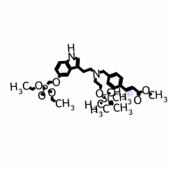 CCOP(=O)(COc1ccc2[nH]cc(CCN(CCO[Si](C)(C)C(C)(C)C)Cc3ccc(/C=C/C(=O)OC)cc3)c2c1)OCC